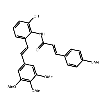 COc1ccc(/C=C/C(=O)Nc2c(O)cccc2C=Cc2cc(OC)c(OC)c(OC)c2)cc1